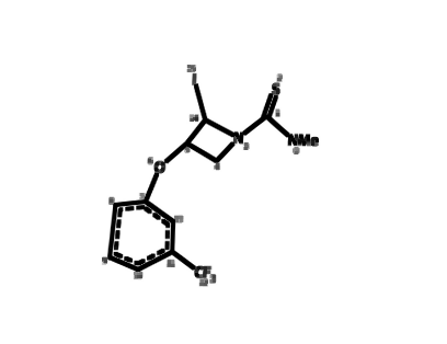 CNC(=S)N1CC(Oc2cccc(C(F)(F)F)c2)C1I